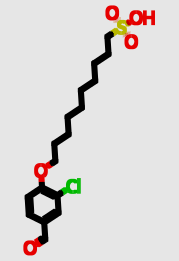 O=Cc1ccc(OCCCCCCCCCCS(=O)(=O)O)c(Cl)c1